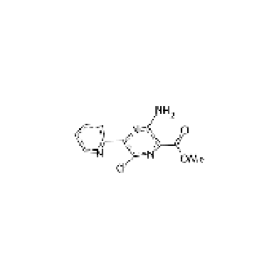 COC(=O)c1nc(Cl)c(-c2ccccn2)nc1N